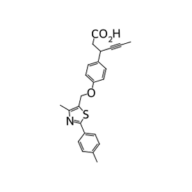 CC#CC(CC(=O)O)c1ccc(OCc2sc(-c3ccc(C)cc3)nc2C)cc1